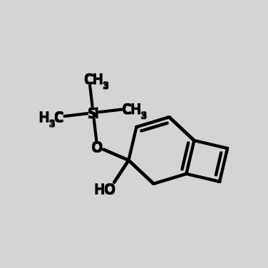 C[Si](C)(C)OC1(O)C=CC2=C(C=C2)C1